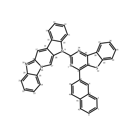 c1ccc2cc(-c3nc(-n4c5ccccc5c5cc6nc7ccccc7n6cc54)nc4c3sc3ccccc34)ccc2c1